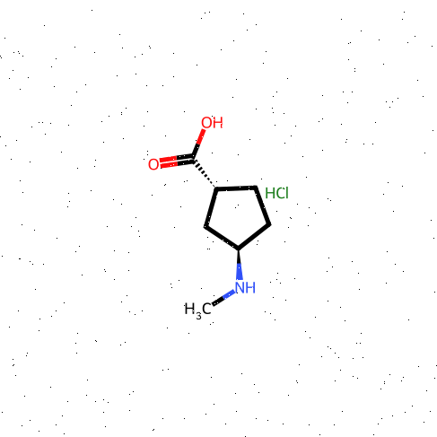 CN[C@@H]1CC[C@@H](C(=O)O)C1.Cl